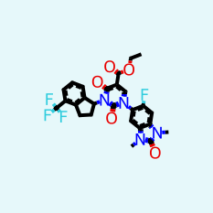 CCOC(=O)c1cn(-c2cc3c(cc2F)n(C)c(=O)n3C)c(=O)n(C2CCc3c2cccc3C(F)(F)F)c1=O